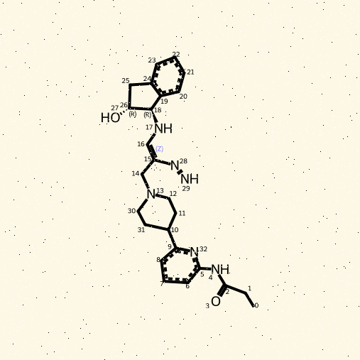 CCC(=O)Nc1cccc(C2CCN(C/C(=C/N[C@@H]3c4ccccc4C[C@H]3O)N=N)CC2)n1